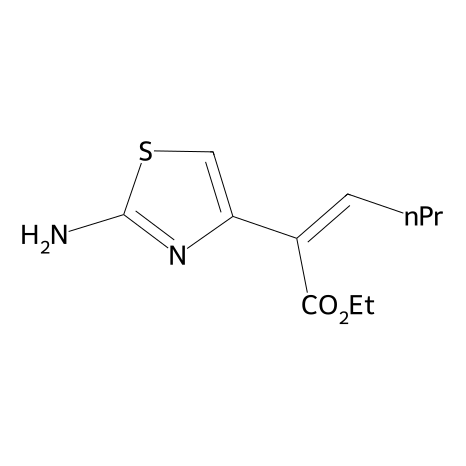 CCCC=C(C(=O)OCC)c1csc(N)n1